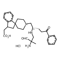 CC(N)(C=O)CN[C@@H](CCC(=O)c1ccccc1)CN1CCC2(CC1)CC(CC(=O)O)c1ccccc12.Cl